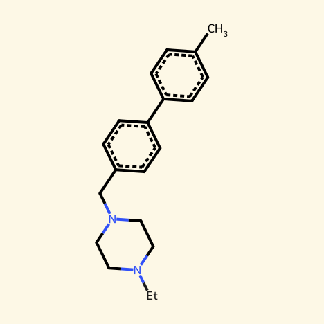 CCN1CCN(Cc2ccc(-c3ccc(C)cc3)cc2)CC1